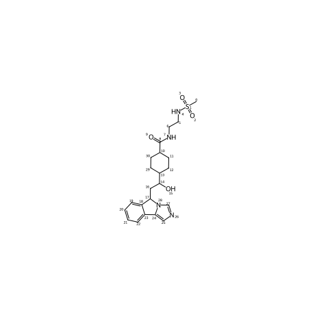 CS(=O)(=O)NCCNC(=O)C1CCC(C(O)CC2c3ccccc3-c3cncn32)CC1